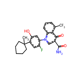 CC1(c2cc(F)c(-n3cc(C(N)=O)c(=O)c4c(C(F)(F)F)cccc43)cc2O)CCCCC1